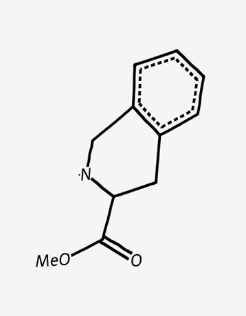 COC(=O)C1Cc2ccccc2C[N]1